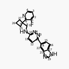 Fc1cccnc1C1(CNc2ccc(-c3ccc4[nH]cnc4c3)nn2)CCC1